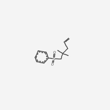 C=CCC(C)(C)CS(=O)(=O)c1ccccc1